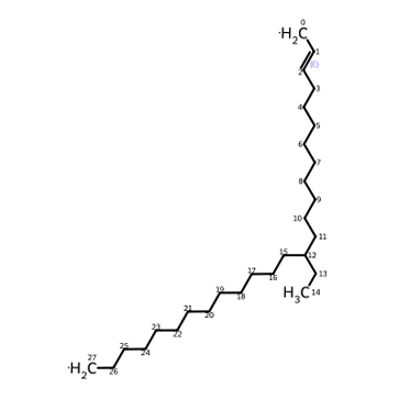 [CH2]/C=C/CCCCCCCCCC(CC)CCCCCCCCCCCC[CH2]